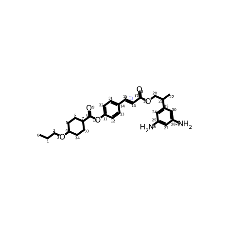 CCCOC1CCC(C(=O)Oc2ccc(/C=C/C(=O)OCC(C)c3cc(N)cc(N)c3)cc2)CC1